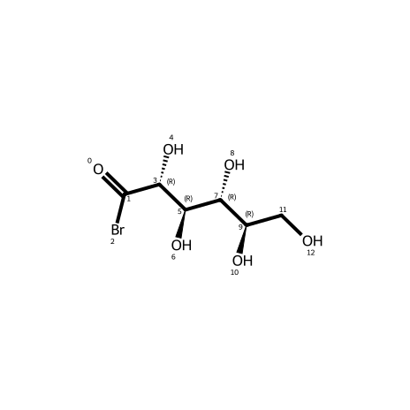 O=C(Br)[C@H](O)[C@H](O)[C@H](O)[C@H](O)CO